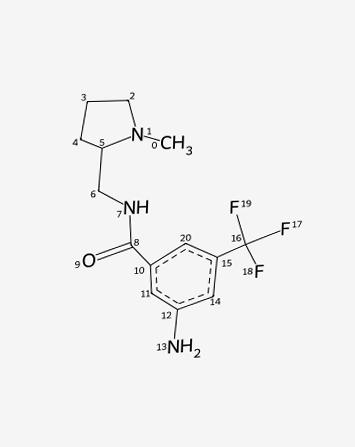 CN1CCCC1CNC(=O)c1cc(N)cc(C(F)(F)F)c1